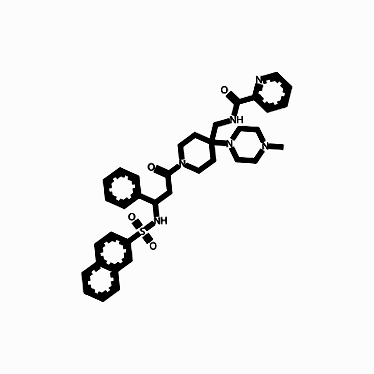 CN1CCN(C2(CNC(=O)c3ccccn3)CCN(C(=O)CC(NS(=O)(=O)c3ccc4ccccc4c3)c3ccccc3)CC2)CC1